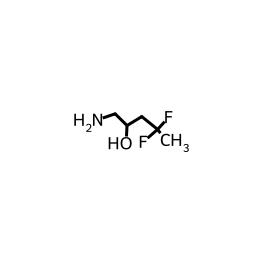 CC(F)(F)CC(O)CN